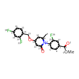 COC(=O)c1ccc(-n2c(C)cc(OCc3ccc(F)cc3F)cc2=O)c(F)c1